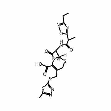 CCc1noc(C(C)C(=O)NC2C(=O)N3C(C(=O)O)=C(CSc4nnc(C)s4)CS[C@@H]23)n1